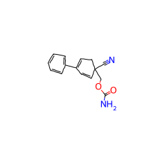 N#CC1(COC(N)=O)C=CC(c2ccccc2)=CC1